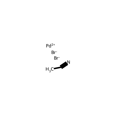 CC#N.[Br-].[Br-].[Pd+2]